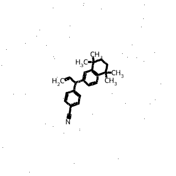 C=CC(c1ccc(C#N)cc1)c1ccc2c(c1)C(C)(C)CCC2(C)C